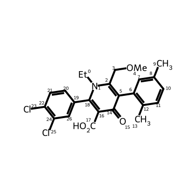 CCn1c(COC)c(-c2cc(C)ccc2C)c(=O)c(C(=O)O)c1-c1ccc(Cl)c(Cl)c1